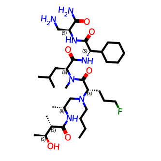 CCCCN(C[C@@H](C)NC(=O)[C@@H](C)[C@H](C)O)[C@@H](CCCF)C(=O)N(C)[C@@H](CC(C)C)C(=O)N[C@H](C(=O)N[C@@H](CN)C(N)=O)C1CCCCC1